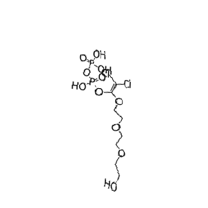 O=P(O)(O)OP(=O)(O)OC(OCCOCCOCCO)=C(Cl)Cl